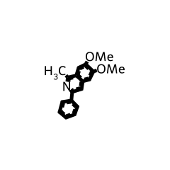 COc1cc2cc(-c3ccccc3)nc(C)c2cc1OC